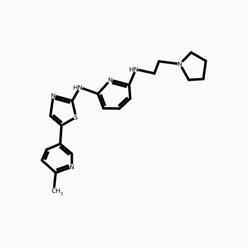 Cc1ccc(-c2cnc(Nc3cccc(NCCN4CCCC4)n3)s2)cn1